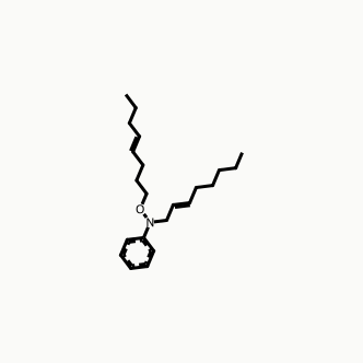 CCCC=CCCCON(CC=CCCCCC)c1ccccc1